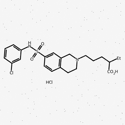 CCC(CCCN1CCc2ccc(S(=O)(=O)Nc3cccc(Cl)c3)cc2C1)C(=O)O.Cl